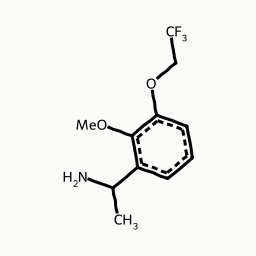 COc1c(OCC(F)(F)F)cccc1C(C)N